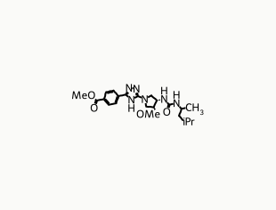 COC(=O)c1ccc(-c2nnc(N3C[C@H](NC(=O)NC(C)CC(C)C)[C@@H](OC)C3)[nH]2)cc1